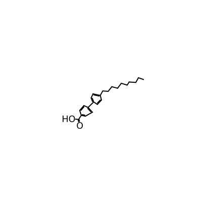 CCCCCCCCCCc1ccc(-c2ccc(C(=O)O)cc2)cc1